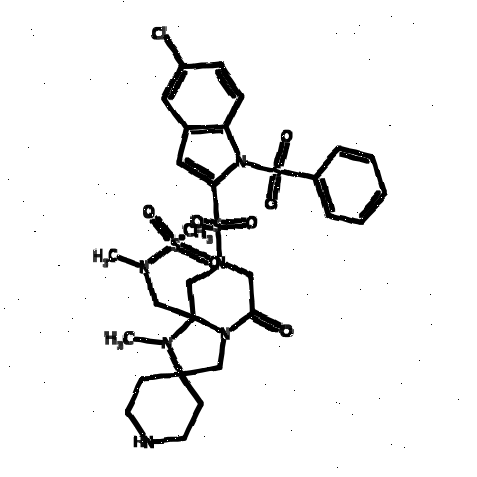 CN1C2(CCNCC2)CN2C(=O)CN(S(=O)(=O)c3cc4cc(Cl)ccc4n3S(=O)(=O)c3ccccc3)CC21CN(C)S(C)(=O)=O